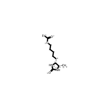 CCC(=O)OCCCCC[C@H]1NC(=O)N[C@H]1C